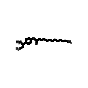 CCCCCCCCCCCCC(=O)Oc1ccc(C(C)CC)cc1